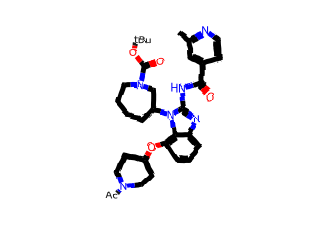 CC(=O)N1CCC(Oc2cccc3nc(NC(=O)c4ccnc(C)c4)n(C4CCCCN(C(=O)OC(C)(C)C)C4)c23)CC1